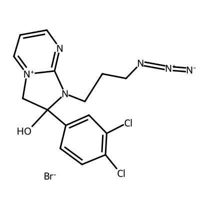 [Br-].[N-]=[N+]=NCCCN1c2nccc[n+]2CC1(O)c1ccc(Cl)c(Cl)c1